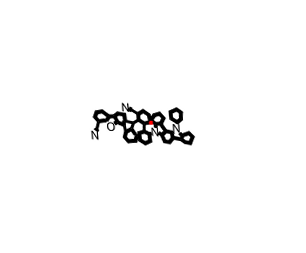 N#Cc1cccc(-c2ccccc2-n2c3ccccc3c3c2ccc2c4ccccc4n(-c4ccccc4)c23)c1C1c2ccccc2-c2c1ccc1c2oc2c(C#N)cccc21